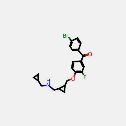 O=C(c1ccc(Br)cc1)c1ccc(OCC2CC2CNCC2CC2)c(F)c1